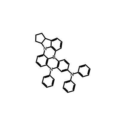 c1ccc(N(c2ccccc2)c2ccc3c(c2)N(c2ccccc2)c2cccc4c2B3c2cccc3c2N4C2CCCC32)cc1